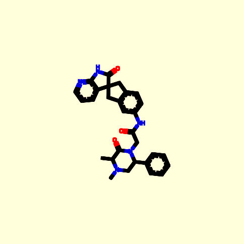 CC1C(=O)N(CC(=O)Nc2ccc3c(c2)CC2(C3)C(=O)Nc3ncccc32)C(c2ccccc2)CN1C